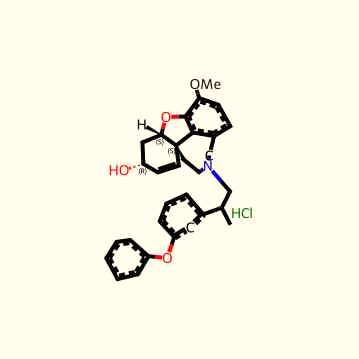 COc1ccc2c3c1O[C@H]1C[C@@H](O)C=C[C@@]31CCN(CC(C)c1cccc(Oc3ccccc3)c1)C2.Cl